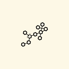 c1ccc(-c2cccc(-c3cc(-c4ccc(-c5cc6c(cc5-c5ccccc5)-c5ccccc5C6(c5ccccc5)c5ccccc5)cc4)nc(-c4ccccc4)n3)c2)cc1